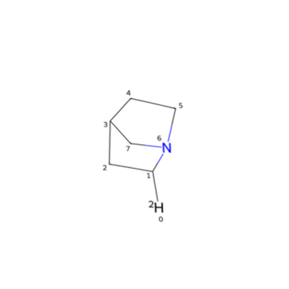 [2H]C1CC2CCN1C2